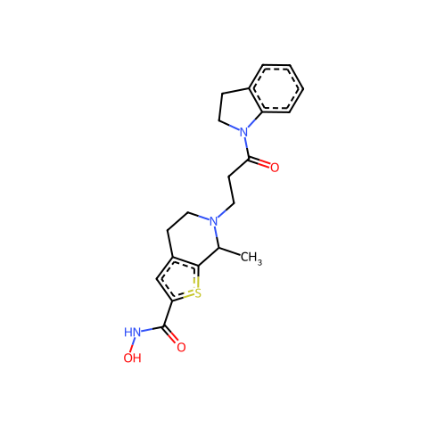 CC1c2sc(C(=O)NO)cc2CCN1CCC(=O)N1CCc2ccccc21